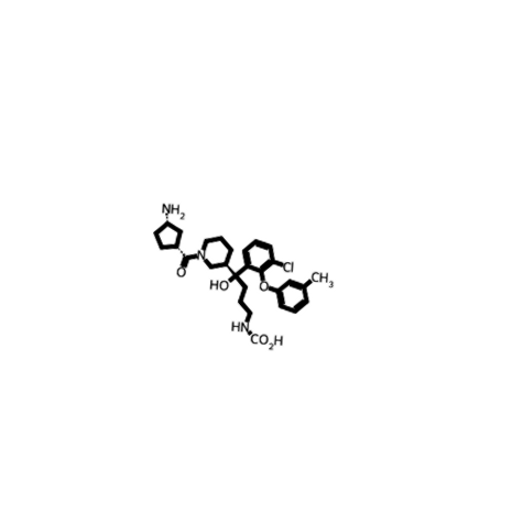 Cc1cccc(Oc2c(Cl)cccc2C(O)(CCCNC(=O)O)[C@@H]2CCCN(C(=O)[C@@H]3CC[C@H](N)C3)C2)c1